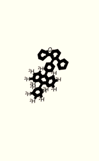 [2H]c1c([2H])c([2H])c(-c2c3c([2H])c([2H])c([2H])c([2H])c3c(-c3ccc(-c4c(-c5ccccc5)ccc5oc6ccccc6c45)cc3)c3c([2H])c([2H])c([2H])c([2H])c23)c([2H])c1[2H]